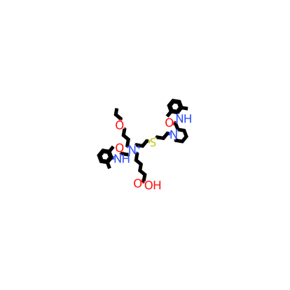 CCCOCCCC[N+](CCCCCC(=O)O)(CCCSCCCN1CCCCC1C(=O)Nc1c(C)cccc1C)CC(=O)Nc1c(C)cccc1C